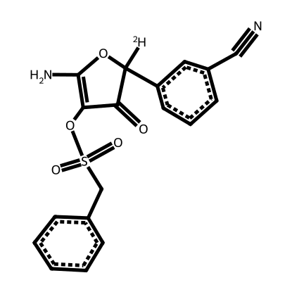 [2H]C1(c2cccc(C#N)c2)OC(N)=C(OS(=O)(=O)Cc2ccccc2)C1=O